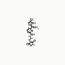 CCC1=CS/C(=C(/N)c2ccnc(NCCCN3C(=O)CCC3=O)n2)N1